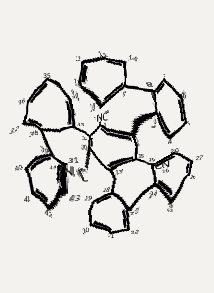 [C-]#[N+]c1c(-c2ccccc2-c2ccccc2)c(C#N)c(-c2ccccc2-c2ccccc2)c(C#N)c1-c1ccccc1-c1ccccc1